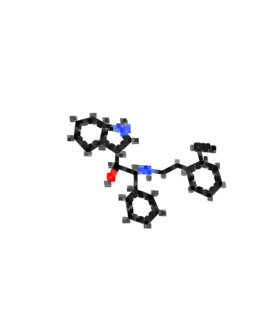 COc1ccccc1CCN[C@@H](C(=O)c1c[nH]c2ccccc12)c1ccccc1